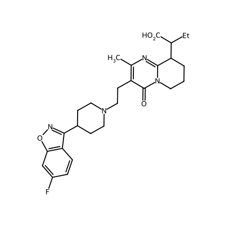 CCC(C(=O)O)C1CCCn2c1nc(C)c(CCN1CCC(c3noc4cc(F)ccc34)CC1)c2=O